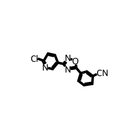 N#Cc1cccc(-c2nc(-c3ccc(Cl)nc3)no2)c1